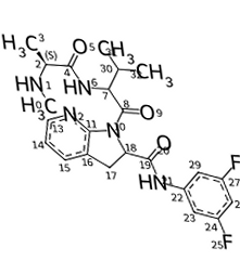 CN[C@@H](C)C(=O)NC(C(=O)N1c2ncccc2CC1C(=O)Nc1cc(F)cc(F)c1)C(C)C